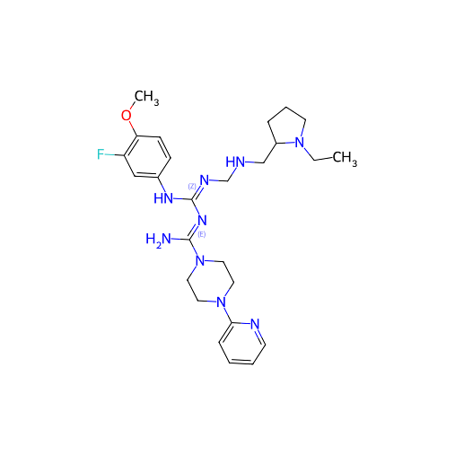 CCN1CCCC1CNC/N=C(\N=C(/N)N1CCN(c2ccccn2)CC1)Nc1ccc(OC)c(F)c1